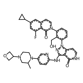 CC1CN(C2COC2)CCN1c1ccc(Nc2nn(-c3cccc(-n4ccc5cc(C6CC6)cc(F)c5c4=O)c3CO)c3cc[nH]c(=O)c23)nc1